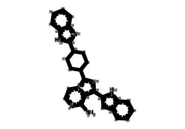 Nc1nccn2c(C3CCC(c4nc5ccccc5[nH]4)CC3)nc(-c3cc4ccccc4[nH]3)c12